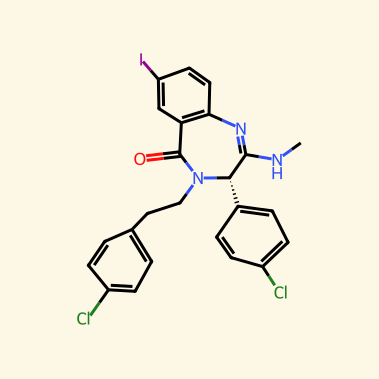 CNC1=Nc2ccc(I)cc2C(=O)N(CCc2ccc(Cl)cc2)[C@H]1c1ccc(Cl)cc1